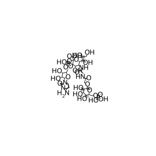 Nc1ccn(C2OC(COP(=O)(O)OC3(C(=O)O)CC(O)C(NC(=O)CNC(=O)CO[C@H]4OC(COP(=O)(O)O)[C@@H](O)C(O)[C@H]4O)C([C@H](O)[C@H](O)CO)O3)C(O)C2O)c(=O)n1